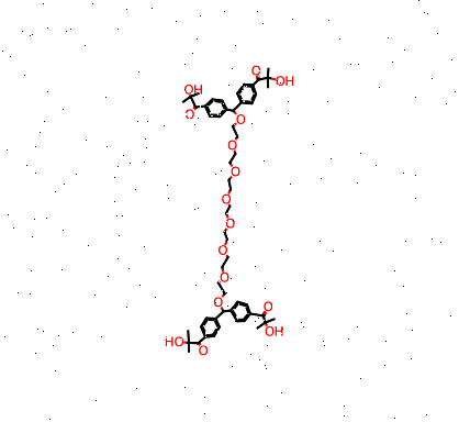 CC(C)(O)C(=O)c1ccc(C(OCCOCCOCCOCCOCCOCCOCCOC(c2ccc(C(=O)C(C)(C)O)cc2)c2ccc(C(=O)C(C)(C)O)cc2)c2ccc(C(=O)C(C)(C)O)cc2)cc1